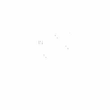 Clc1nc(-c2ccccc2)c2nc[nH]c2n1